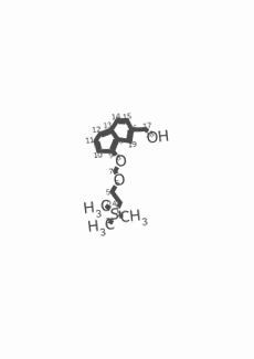 C[Si](C)(C)CCOCOc1cccc2ccc(CO)cc12